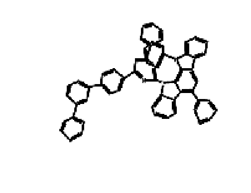 c1ccc(-c2cccc(-c3ccc(-c4cc(-c5ccccc5)nc(-n5c6ccccc6c6c(-c7ccccc7)cc7c8ccccc8n(-c8ccccc8)c7c65)n4)cc3)c2)cc1